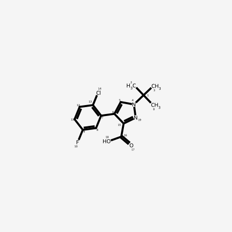 CC(C)(C)n1cc(-c2cc(F)ccc2Cl)c(C(=O)O)n1